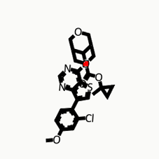 COc1ccc(-c2csc3c(OC4C5COCC4CN(C(=O)OC4(C)CC4)C5)ncnc23)c(Cl)c1